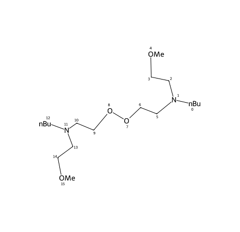 CCCCN(CCOC)CCOOCCN(CCCC)CCOC